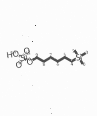 C[Si](C)(C)CCCCCCOS(=O)(=O)O